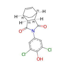 O=C1[C@@H]2[C@H](C(=O)N1c1cc(Cl)c(O)c(Cl)c1)[C@@H]1C=C[C@H]2CC1